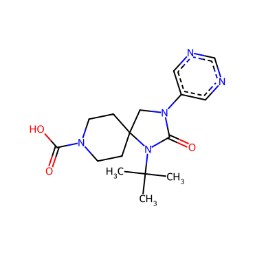 CC(C)(C)N1C(=O)N(c2cncnc2)CC12CCN(C(=O)O)CC2